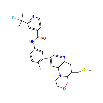 CSCC1Cc2ncc(-c3cc(NC(=O)c4ccnc(C(C)(C)F)c4)ccc3C)cc2N2CCOCC12